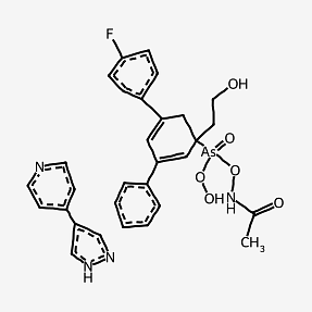 CC(=O)NO[As](=O)(OO)C1(CCO)C=C(c2ccccc2)C=C(c2ccc(F)cc2)C1.c1cc(-c2cn[nH]c2)ccn1